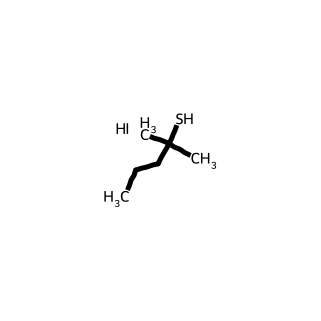 CCCC(C)(C)S.I